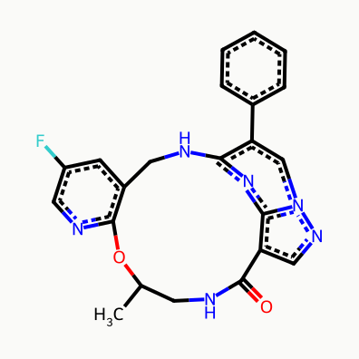 CC1CNC(=O)c2cnn3cc(-c4ccccc4)c(nc23)NCc2cc(F)cnc2O1